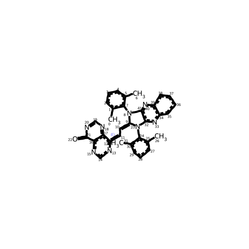 Cc1cccc(C)c1N1C(=C/C=c2/ncnc3c2=NC=NC3=O)N(c2c(C)cccc2C)c2nc3ccccc3nc21